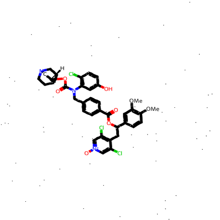 COc1ccc(C(Cc2c(Cl)c[n+]([O-])cc2Cl)OC(=O)c2ccc(CN(C(=O)O[C@H]3CN4CCC3CC4)c3cc(O)ccc3Cl)cc2)cc1OC